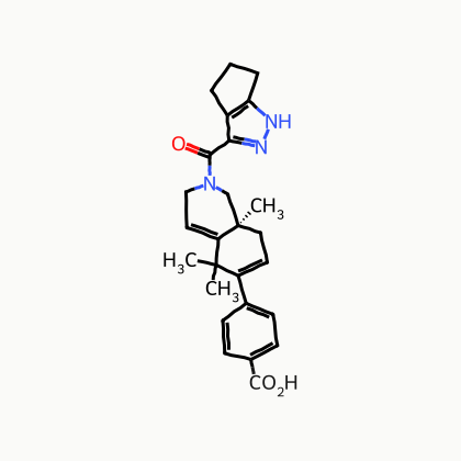 CC1(C)C(c2ccc(C(=O)O)cc2)=CC[C@]2(C)CN(C(=O)c3n[nH]c4c3CCC4)CC=C12